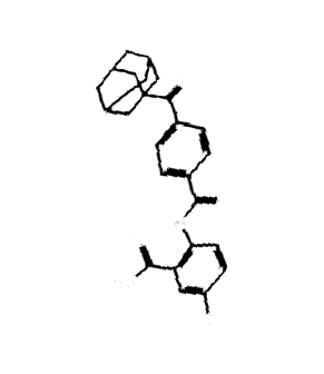 O=C(Nc1ccc(Cl)cc1C(=O)O)c1ccc(C(=O)C23CC4CC(CC(C4)C2)C3)cc1